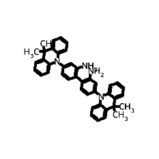 CC1(C)c2ccccc2N(c2ccc(-c3ccc(N4c5ccccc5C(C)(C)c5ccccc54)cc3N)c(N)c2)c2ccccc21